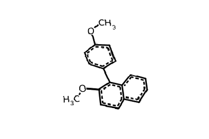 COc1ccc(-c2c(OC)ccc3ccccc23)cc1